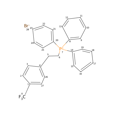 FC(F)(F)c1ccc(CC[P+](c2ccccc2)(c2ccccc2)c2ccccc2)cc1.[Br-]